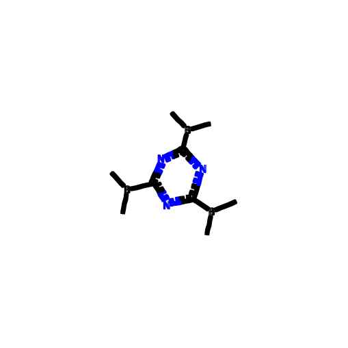 CB(C)c1nc(B(C)C)nc(B(C)C)n1